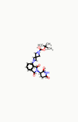 CC(C)(C)OC(=O)N1CC2(C1)CN(c1cccc3c1C(=O)N(C1CCC(=O)NC1=O)C3=O)C2